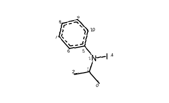 CC(C)N(I)c1ccccc1